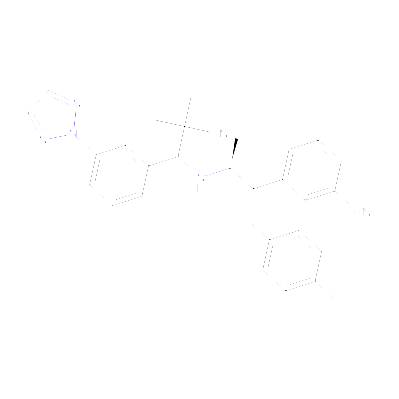 C[C@H](NC(c1cccc(-n2nccn2)c1)C(C)(C)C#N)[C@@H](Cc1ccc(Cl)cc1)c1cccc(C#N)c1